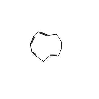 [C]1=C\CCC/C=C/C\C=C/C=C\1